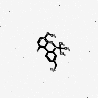 CCc1ccc(-c2cc(OC)ccc2F)c(C(O)C(C)(C)C)c1